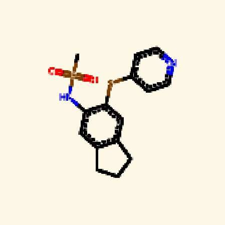 CS(=O)(=O)Nc1cc2c(cc1Sc1ccncc1)CCC2